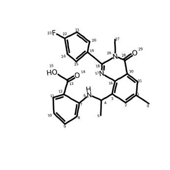 Cc1cc(C(C)Nc2ccccc2C(=O)O)c2nc(-c3ccc(F)cc3)n(C)c(=O)c2c1